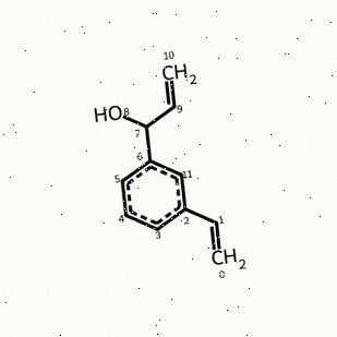 C=Cc1cccc(C(O)C=C)c1